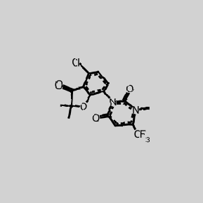 Cn1c(C(F)(F)F)cc(=O)n(-c2ccc(Cl)c3c2OC(C)(C)C3=O)c1=O